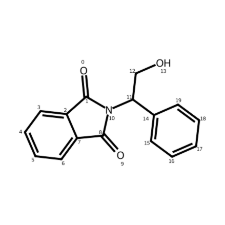 O=C1c2ccccc2C(=O)N1C(CO)c1ccccc1